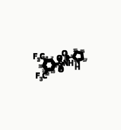 O=C(NS(=O)(=O)c1cc(C(F)(F)F)cc(C(F)(F)F)c1)[C@@H]1CCCN1